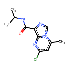 Cc1cc(Cl)nc2c(C(=O)NC(C)C(F)(F)F)ncn12